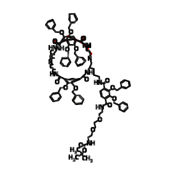 CC(C)(C)OC(=O)NCCOCCOCCNC(=O)c1ccc(C(=O)NCCCC2CN3CCNC(=O)c4ccc(c(OCc5ccccc5)c4OCc4ccccc4)C(=O)NCCN(CCNC(=O)c4ccc(c(OCc5ccccc5)c4OCc4ccccc4)C(=O)NCC3)CCNC(=O)c3ccc(c(OCc4ccccc4)c3OCc3ccccc3)C(=O)N2)c(OCc2ccccc2)c1OCc1ccccc1